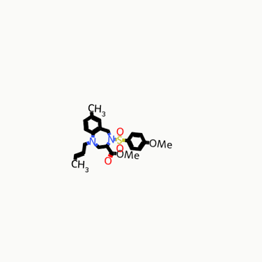 C/C=C/CN1CC(C(=O)OC)N(S(=O)(=O)c2ccc(OC)cc2)Cc2cc(C)ccc21